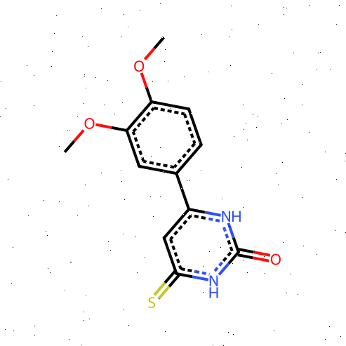 COc1ccc(-c2cc(=S)[nH]c(=O)[nH]2)cc1OC